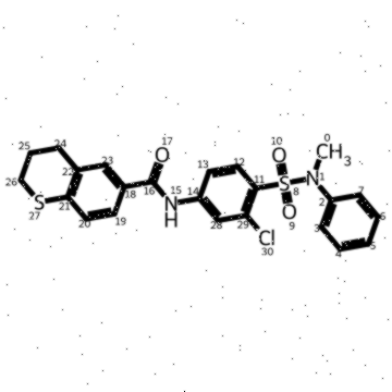 CN(c1ccccc1)S(=O)(=O)c1ccc(NC(=O)c2ccc3c(c2)CCCS3)cc1Cl